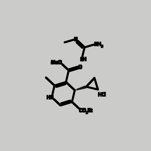 CCOC(=O)C1=CNC(C)=C(C(=O)OC)[C@@H]1C1CC1.CN=C(N)S.Cl